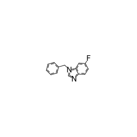 Fc1ccc2ncn(Cc3ccccc3)c2c1